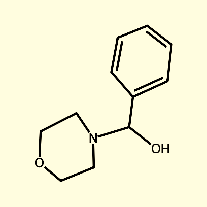 OC(c1ccccc1)N1CCOCC1